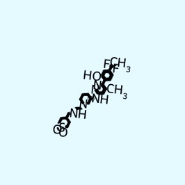 Cc1cc(N[C@@H]2CCCN(CCNCC3CCS(=O)(=O)CC3)C2)nnc1-c1ccc(C(C)(F)F)cc1O